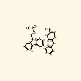 O=C(Cl)OCC1c2ccccc2-c2ccccc21.Oc1ccc(Cc2ccccc2)cc1